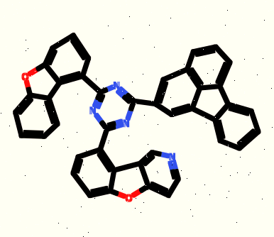 c1ccc2c(c1)-c1cccc3cc(-c4nc(-c5cccc6oc7ccccc7c56)nc(-c5cccc6oc7ccncc7c56)n4)cc-2c13